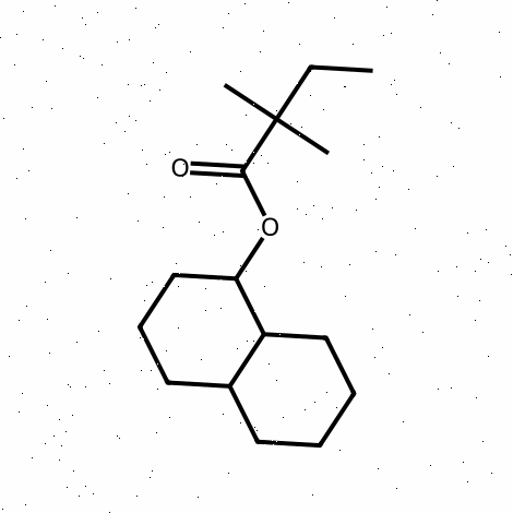 CCC(C)(C)C(=O)OC1CCCC2CCCCC21